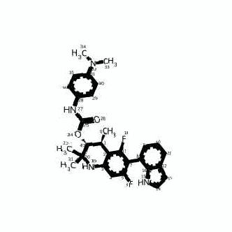 C[C@H]1c2c(cc(F)c(-c3cccc4cc[nH]c34)c2F)NC(C)(C)[C@@H]1OC(=O)Nc1ccc(N(C)C)cc1